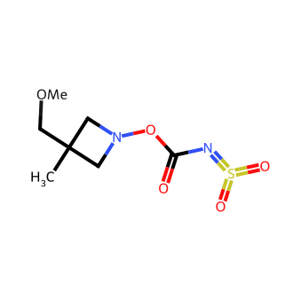 COCC1(C)CN(OC(=O)N=S(=O)=O)C1